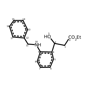 CCOC(=O)CC(O)c1ccccc1NCc1ccccc1